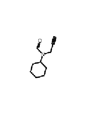 C#CCN(C=O)C1CCCCC1